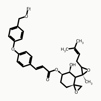 CCOCc1ccc(Oc2ccc(/C=C/C(=O)O[C@@H]3CC[C@]4(CO4)C([C@]4(C)OC4CC=C(C)C)[C@@H]3O)cc2)cc1